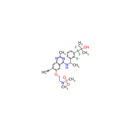 C#Cc1cc2nc(C)nc(NC(C)c3cccc(C(F)(F)C(C)(C)O)c3F)c2cc1OCCN(C)S(C)(=O)=O